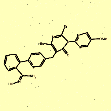 CCCCc1nc(CC)n(-c2ncc(OC)cn2)c(=O)c1Cc1ccc(-c2ccccc2/C(N)=N\O)nc1